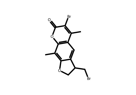 Cc1c(Br)c(=O)oc2c(C)c3c(cc12)C(CBr)CO3